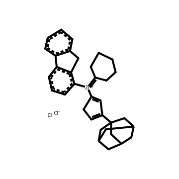 C1=[C]([Zr+2](=[C]2CCCCC2)[c]2cccc3c2Cc2ccccc2-3)CC=C1C12CC3CC(CC(C3)C1)C2.[Cl-].[Cl-]